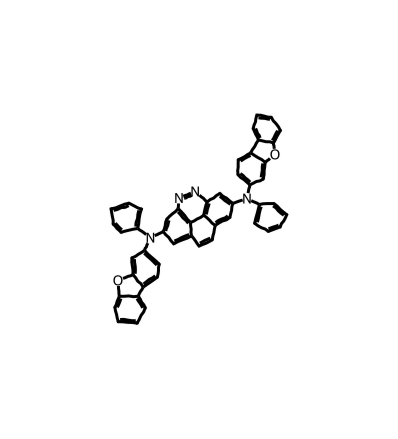 c1ccc(N(c2cc3ccc4cc(N(c5ccccc5)c5ccc6c(c5)oc5ccccc56)cc5nnc(c2)c3c45)c2ccc3c(c2)oc2ccccc23)cc1